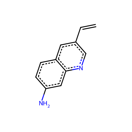 C=Cc1cnc2cc(N)ccc2c1